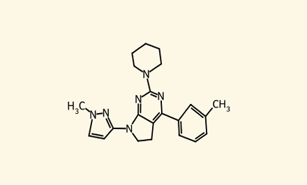 Cc1cccc(-c2nc(N3CCCCC3)nc3c2CCN3c2ccn(C)n2)c1